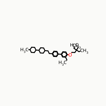 CCc1cc(-c2ccc(CCC3CCC(C4CCC(C)CC4)CC3)cc2)ccc1OCCC(CC)(CC)CC